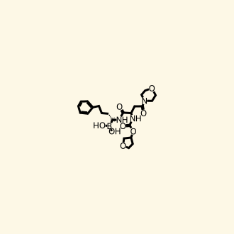 O=C(NC(CC(=O)N1CCOCC1)C(=O)N[C@@H](CCCc1ccccc1)B(O)O)OC1CCOC1